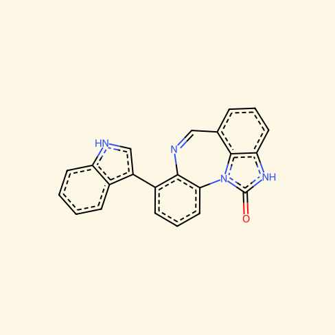 O=c1[nH]c2cccc3c2n1-c1cccc(-c2c[nH]c4ccccc24)c1N=C3